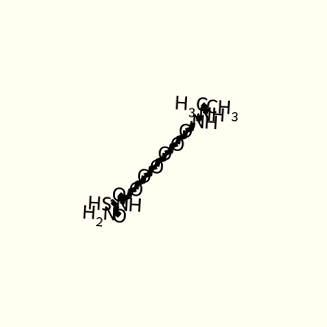 CC(C)NCNCCOCCOCCOCCOCCOCCOCCC(=O)NC(CS)C(N)=O